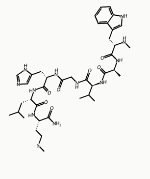 CN[C@@H](Cc1c[nH]c2ccccc12)C(=O)N[C@@H](C)C(=O)N[C@H](C(=O)NCC(=O)N[C@@H](Cc1cnc[nH]1)C(=O)N[C@@H](CC(C)C)C(=O)N[C@@H](CCSC)C(N)=O)C(C)C